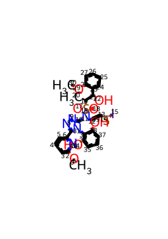 COc1cc#cc(-c2nnc(N(/C=C/SI)S(=O)(=O)[C@@H](C)[C@@H](O)c3ccccc3OC)n2-c2c(O)cccc2O)n1